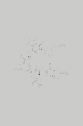 NCCCC[C@H](NC(=O)[C@@H]1CCCN1C(=O)CNC(=O)[C@H](CC(=O)O)NC(=O)[C@H](CCC(N)=O)NC(=O)CNC(=O)[C@@H]1C[C@@H](O)CN1)C(=O)O